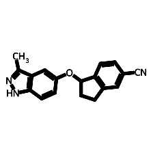 Cc1n[nH]c2ccc(OC3CCc4cc(C#N)ccc43)cc12